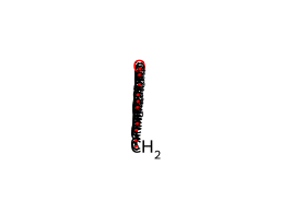 C=C=C=C=C=C=C=C=C=C=C=C=C=C=C=C=C=C=C=C=C=C=C=C=C=O